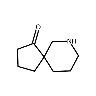 O=C1CCCC12CCCNC2